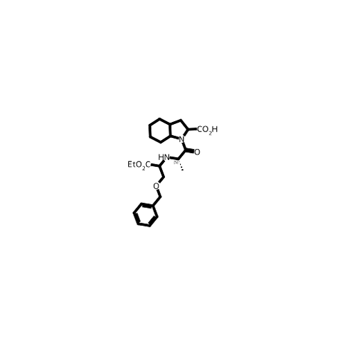 CCOC(=O)C(COCc1ccccc1)N[C@@H](C)C(=O)N1C(C(=O)O)CC2CCCCC21